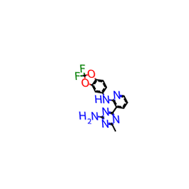 Cc1nc(N)nc(-c2cccnc2Nc2ccc3c(c2)OC(F)(F)O3)n1